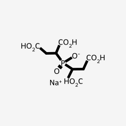 O=C(O)CC(C(=O)O)P(=O)([O-])C(CC(=O)O)C(=O)O.[Na+]